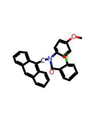 COc1ccc(N(Cc2c3ccccc3cc3ccccc23)C(=O)c2ccccc2Cl)cc1